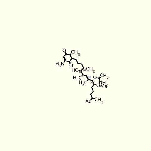 C=C(N)O[C@@H](/C(C)=C/[C@H](C)[C@@H](O)[C@@H](C)CCCC1C(=O)C(N)=CC(=O)C1C)[C@H](CCCC(C)C(C)=O)OC